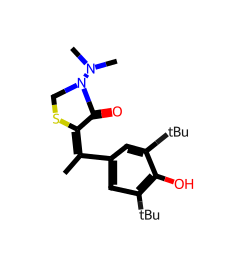 C/C(=C1\SCN(N(C)C)C1=O)c1cc(C(C)(C)C)c(O)c(C(C)(C)C)c1